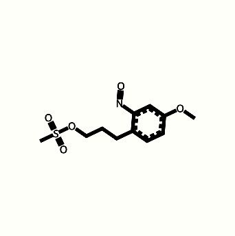 COc1ccc(CCCOS(C)(=O)=O)c(N=O)c1